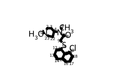 CN1CCC(N(C)C(=O)CSc2cccc3cccc(Cl)c23)CC1